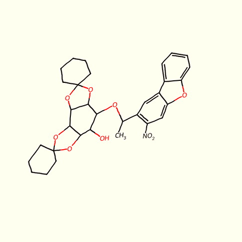 CC(OC1C(O)C2OC3(CCCCC3)OC2C2OC3(CCCCC3)OC12)c1cc2c(cc1[N+](=O)[O-])oc1ccccc12